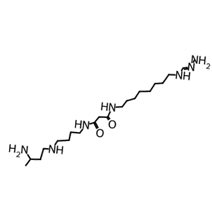 CC(N)CCNCCCCNC(=O)CC(=O)NCCCCCCCCNC=NN